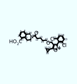 O=C(O)c1cccc2c1CCN(C(=O)CCCCOCc1c(-c3c(Cl)cccc3Cl)noc1C1CC1)C2